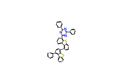 c1ccc(-c2nc(-c3ccccc3)nc(-c3cccc4c3sc3cccc(-c5ccc(-c6ccccc6)c6c5sc5ccccc56)c34)n2)cc1